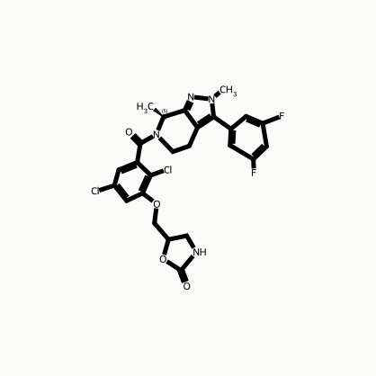 C[C@H]1c2nn(C)c(-c3cc(F)cc(F)c3)c2CCN1C(=O)c1cc(Cl)cc(OCC2CNC(=O)O2)c1Cl